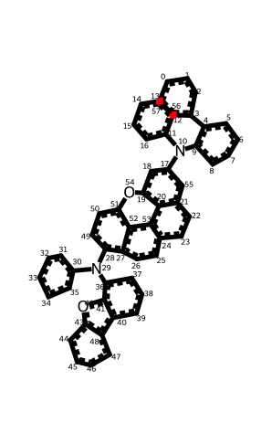 c1ccc(-c2ccccc2N(c2ccccc2)c2cc3c4c(ccc5ccc6c(N(c7ccccc7)c7cccc8c7oc7ccccc78)ccc(c6c54)O3)c2)cc1